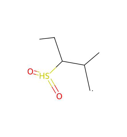 [CH2]C(C)C(CC)[SH](=O)=O